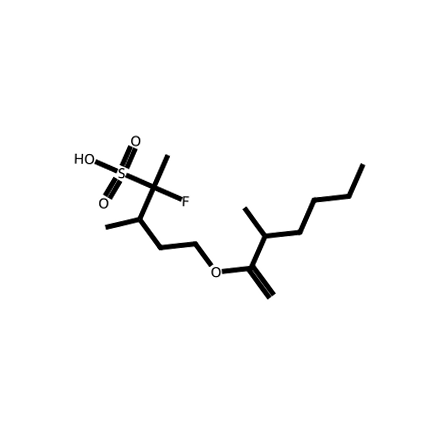 C=C(OCCC(C)C(C)(F)S(=O)(=O)O)C(C)CCCC